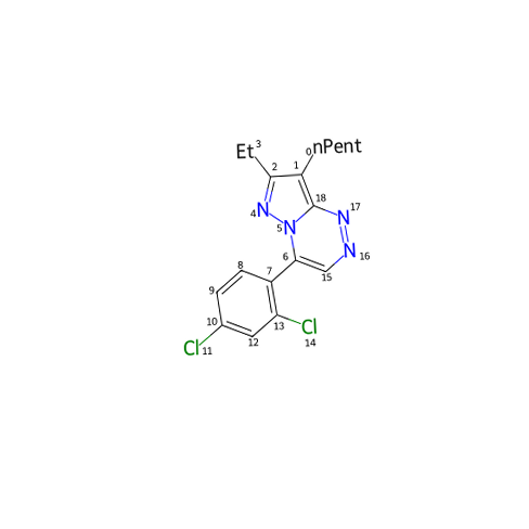 CCCCCc1c(CC)nn2c(-c3ccc(Cl)cc3Cl)cnnc12